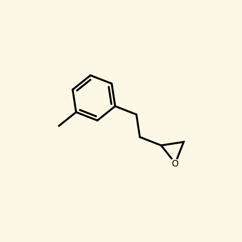 Cc1cccc(CCC2CO2)c1